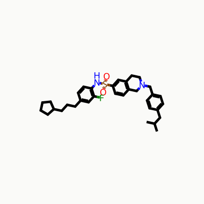 CC(C)Cc1ccc(CN2CCc3cc(S(=O)(=O)Nc4ccc(CCCC5CCCC5)cc4F)ccc3C2)cc1